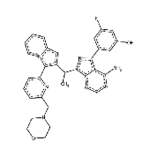 CC(c1cc2ccccn2c1-c1cccc(CN2CCOCC2)n1)n1nc(-c2cc(O)cc(F)c2)c2c(N)ncnc21